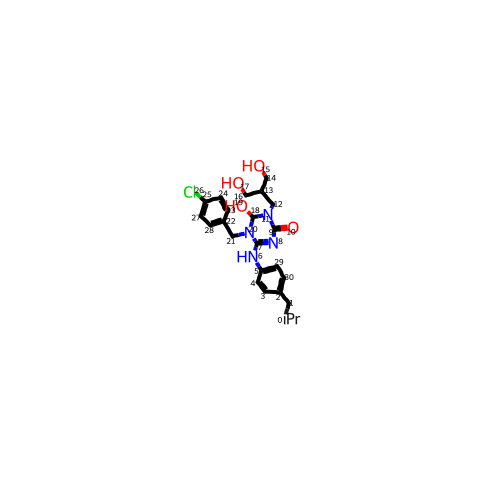 CC(C)Cc1ccc(NC2=NC(=O)N(CC(CO)CO)C(O)N2Cc2ccc(Cl)cc2)cc1